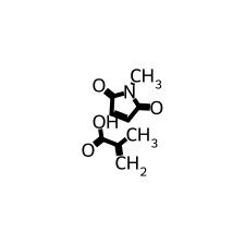 C=C(C)C(=O)O.CN1C(=O)C=CC1=O